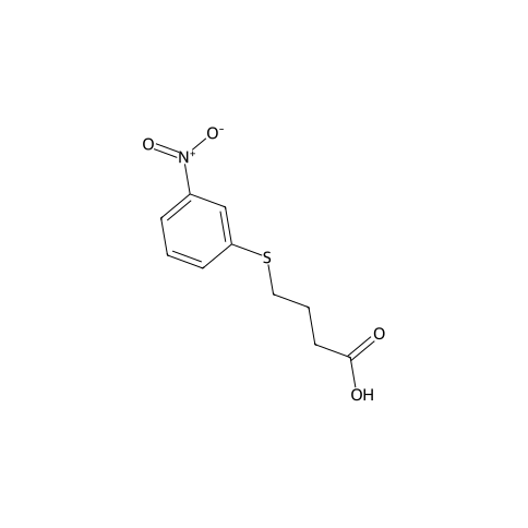 O=C(O)CCCSc1cccc([N+](=O)[O-])c1